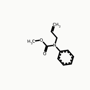 C=CCN(C(=O)OC)c1ccccc1